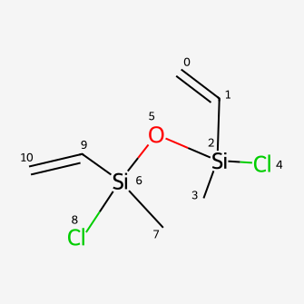 C=C[Si](C)(Cl)O[Si](C)(Cl)C=C